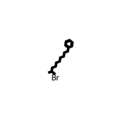 CC(CBr)CCCCCCCCc1ccccc1